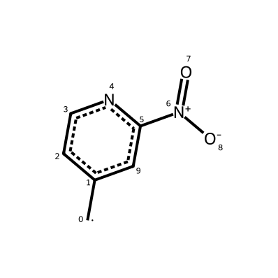 [CH2]c1ccnc([N+](=O)[O-])c1